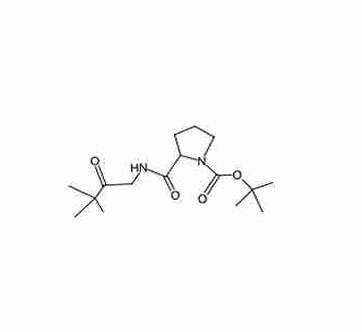 CC(C)(C)OC(=O)N1CCCC1C(=O)NCC(=O)C(C)(C)C